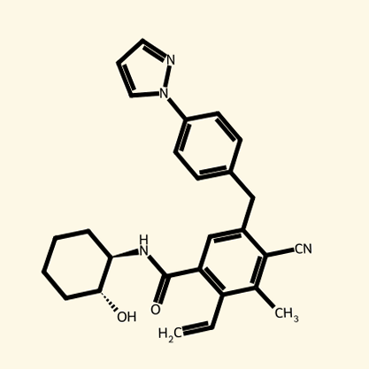 C=Cc1c(C(=O)N[C@@H]2CCCC[C@H]2O)cc(Cc2ccc(-n3cccn3)cc2)c(C#N)c1C